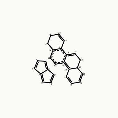 C1=CC2=CC=CC2=C1.C1=CC2=c3ccc4c(c3=CCC2C=C1)C=CCC4